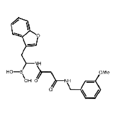 COc1cccc(CNC(=O)CC(=O)NC(Cc2coc3ccccc23)B(O)O)c1